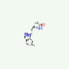 Cc1ccc2cnn(CC[C@H]3CCC(=O)N3)c2c1